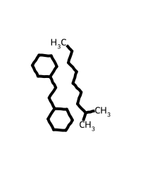 C1CCC(CCC2CCCCC2)CC1.CCCCCCCC(C)C